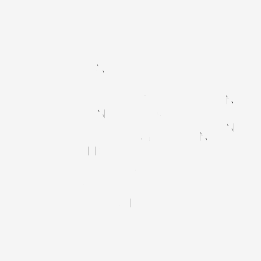 O=C(Oc1nc2c([nH]1)CCCC2)c1cnn[nH]1.O=S(=O)(O)O